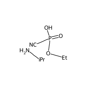 CC(C)N.CCOP(=O)(O)C#N